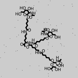 CC(=O)NC1C(OCCCCCC(=O)NCCCCC(NC(=O)C(CCCCNC(=O)CCCCCOC(OC(CO)[C@@H](C)O)[C@H](CO)NC(C)=O)NC(=O)CCCCCOC2OC(CO)C(O)C(O)[C@@H]2NC(C)=O)C(C)=O)OC(CO)C(O)C1O